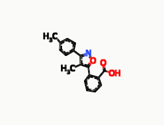 Cc1ccc(-c2noc(-c3ccccc3C(=O)O)c2C)cc1